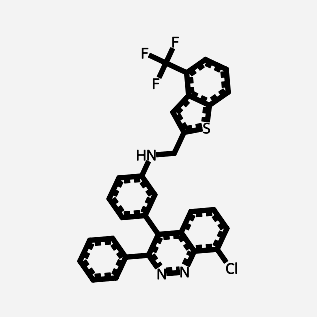 FC(F)(F)c1cccc2sc(CNc3cccc(-c4c(-c5ccccc5)nnc5c(Cl)cccc45)c3)cc12